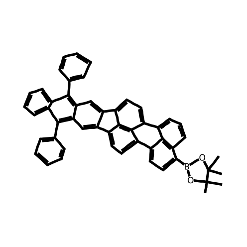 CC1(C)OB(c2ccc3c4ccc5c6c(ccc(c7cccc2c73)c64)-c2cc3c(-c4ccccc4)c4ccccc4c(-c4ccccc4)c3cc2-5)OC1(C)C